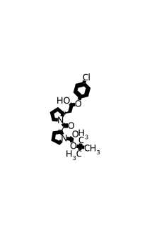 CC(C)(C)OC(=O)N1CCC[C@@H]1C(=O)N1CCC[C@H]1CC(O)Oc1ccc(Cl)cc1